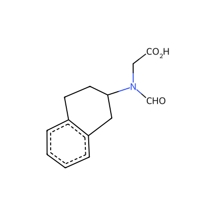 O=CN(CC(=O)O)C1CCc2ccccc2C1